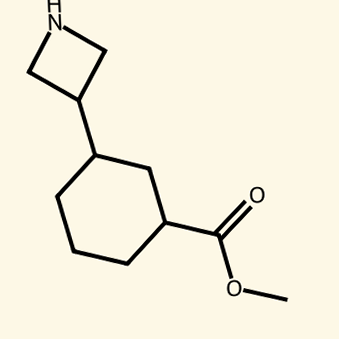 COC(=O)C1CCCC(C2CNC2)C1